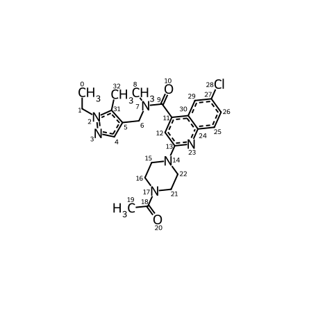 CCn1ncc(CN(C)C(=O)c2cc(N3CCN(C(C)=O)CC3)nc3ccc(Cl)cc23)c1C